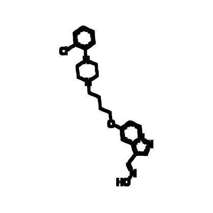 O/N=C/c1cnn2ccc(OCCCCN3CCN(c4ccccc4Cl)CC3)cc12